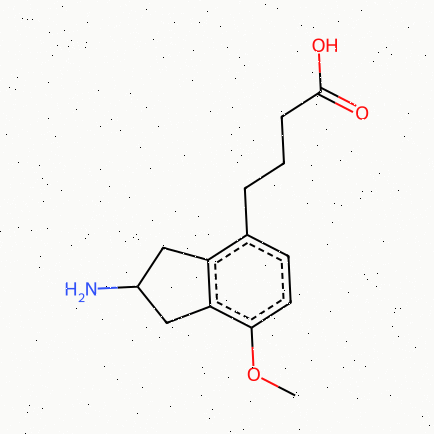 COc1ccc(CCCC(=O)O)c2c1CC(N)C2